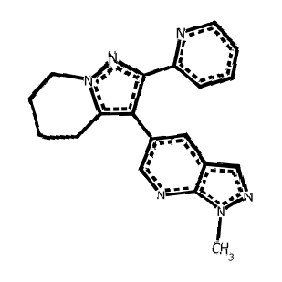 Cn1ncc2cc(-c3c(-c4ccccn4)nn4c3CCCC4)cnc21